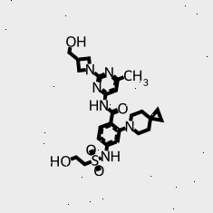 Cc1cc(NC(=O)c2ccc(NS(=O)(=O)CCO)cc2N2CCC3(CC2)CC3)nc(N2CC(CO)C2)n1